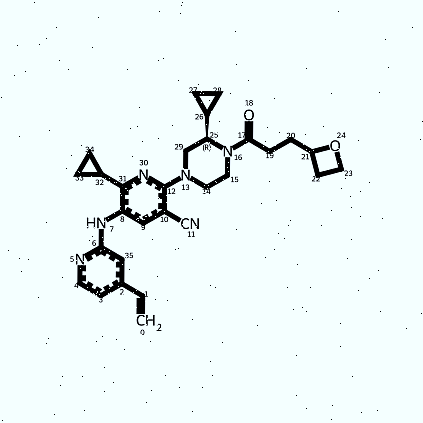 C=Cc1ccnc(Nc2cc(C#N)c(N3CCN(C(=O)CCC4CCO4)[C@H](C4CC4)C3)nc2C2CC2)c1